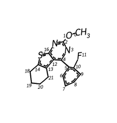 COc1nc(-c2ccccc2F)c2c3c(sc2n1)CCCC3